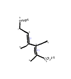 CCCCCCCC/C=C(C)/C(C)=C(\C)C(=O)O